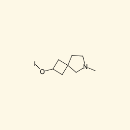 CN1CCC2(CC(OI)C2)C1